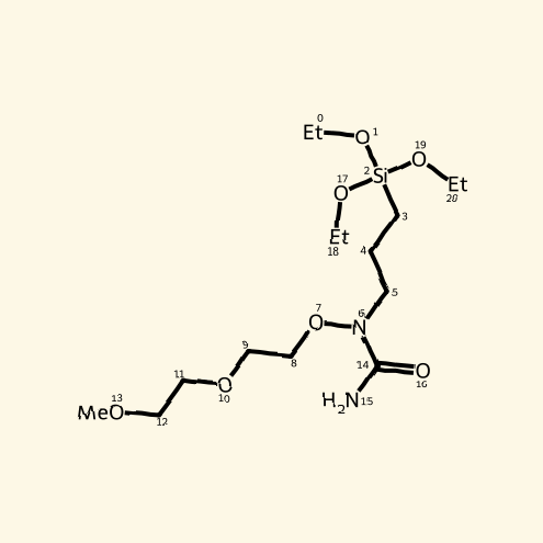 CCO[Si](CCCN(OCCOCCOC)C(N)=O)(OCC)OCC